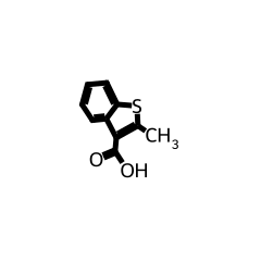 Cc1sc2ccccc2c1C(=O)O